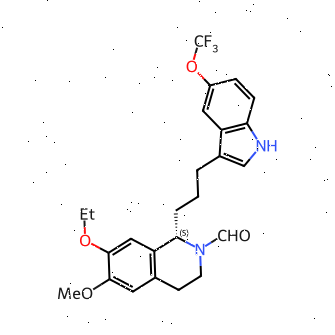 CCOc1cc2c(cc1OC)CCN(C=O)[C@H]2CCCc1c[nH]c2ccc(OC(F)(F)F)cc12